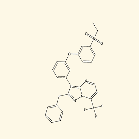 CCS(=O)(=O)c1cccc(Oc2cccc(-c3c(Cc4ccccc4)nn4c(C(F)(F)F)ccnc34)c2)c1